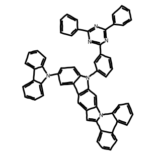 c1ccc(-c2nc(-c3ccccc3)nc(-c3cccc(-n4c5ccc(-n6c7ccccc7c7ccccc76)cc5c5cc6cc7c8ccccc8c8ccccc8n7c6cc54)c3)n2)cc1